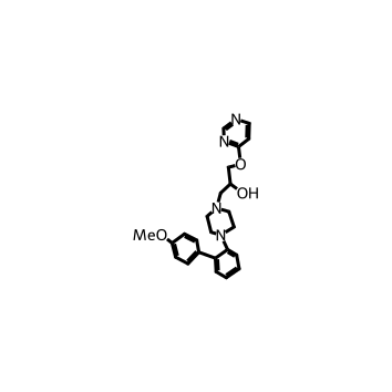 COc1ccc(-c2ccccc2N2CCN(CC(O)COc3ccncn3)CC2)cc1